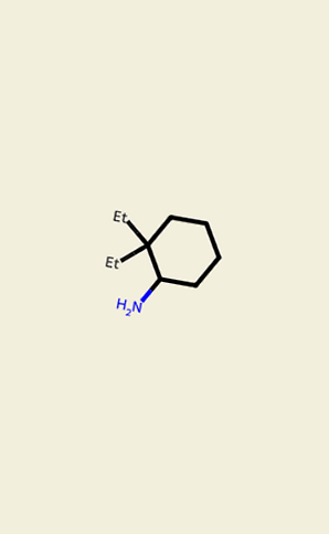 CCC1(CC)CCCCC1N